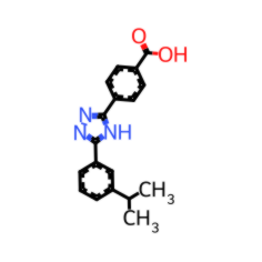 CC(C)c1cccc(-c2nnc(-c3ccc(C(=O)O)cc3)[nH]2)c1